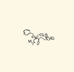 C[N+](CC(=O)O)(OCc1ccccc1)C(=O)CC[C]=O